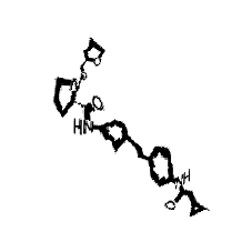 O=C(CC1CC1)Nc1ccc(/C=C/c2ccc(NC(=O)[C@@H]3CCCN3OC[C@H]3CCCO3)cc2)cc1